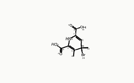 CC1=C(C(=O)O)NC(C(=O)O)=CC1(C)Br